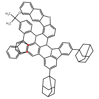 CC(C)(C)c1ccc(N2c3c4c(cc5c3oc3ccccc35)-c3cc(C56CC7CC(CC(C7)C5)C6)cc5c6cc(C78CC9CC(CC(C9)C7)C8)ccc6n(c35)B4c3ccc4sc5cc6ccccc6cc5c4c32)c(-c2ccccc2)c1